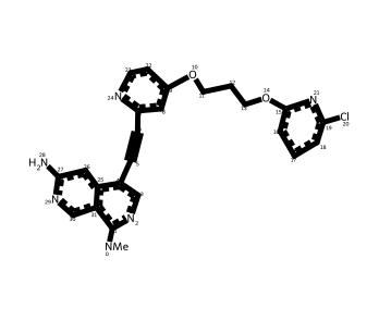 CNc1ncc(C#Cc2cc(OCCCOc3cccc(Cl)n3)ccn2)c2cc(N)ncc12